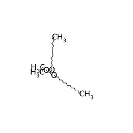 CCCCCCCCCCCCCCOCC(COC(C)C)OCCCCCCCCCCCCCC